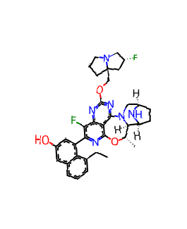 CCc1cccc2cc(O)cc(-c3nc4c5c(nc(OC[C@@]67CCCN6C[C@H](F)C7)nc5c3F)N3C[C@H]5CC[C@H](N5)[C@H]3[C@H](C)O4)c12